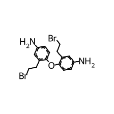 Nc1ccc(Oc2ccc(N)cc2CCBr)c(CCBr)c1